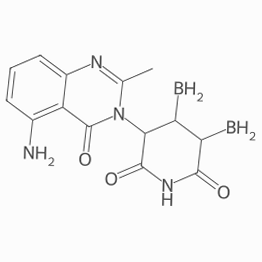 BC1C(=O)NC(=O)C(n2c(C)nc3cccc(N)c3c2=O)C1B